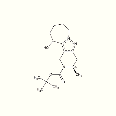 C[C@@H]1Cc2nn3c(c2CN1C(=O)OC(C)(C)C)C(O)CCCC3